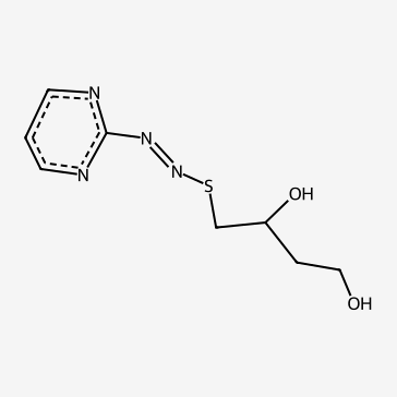 OCCC(O)CSN=Nc1ncccn1